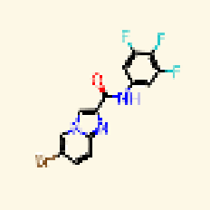 O=C(Nc1cc(F)c(F)c(F)c1)c1cn2cc(Br)ccc2n1